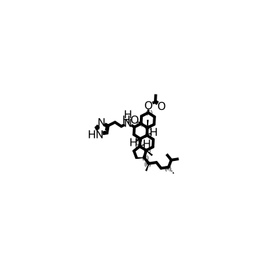 CC(=O)O[C@H]1CC[C@]2(C)[C@H]3CC[C@]4(C)[C@@H]([C@H](C)CC[C@@H](C)C(C)C)CC[C@H]4[C@@H]3CC(NCCc3c[nH]cn3)[C@@]2(O)C1